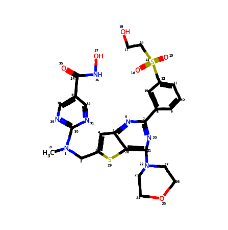 CN(Cc1cc2nc(-c3cccc(S(=O)(=O)CCO)c3)nc(N3CCOCC3)c2s1)c1ncc(C(=O)NO)cn1